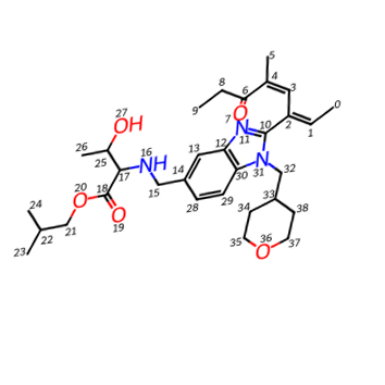 C/C=C(\C=C(\C)C(=O)CC)c1nc2cc(CNC(C(=O)OCC(C)C)C(C)O)ccc2n1CC1CCOCC1